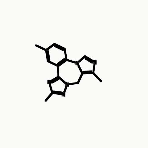 Cc1ccc2c(c1)-c1nc(C)nn1Cc1c(C)ncn1-2